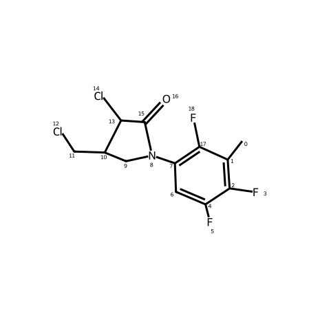 Cc1c(F)c(F)cc(N2CC(CCl)C(Cl)C2=O)c1F